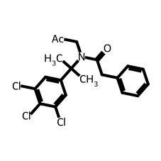 CC(=O)CN(C(=O)Cc1ccccc1)C(C)(C)c1cc(Cl)c(Cl)c(Cl)c1